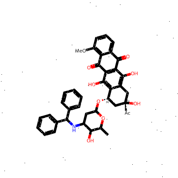 COc1cccc2c1C(=O)c1c(O)c3c(c(O)c1C2=O)C[C@@](O)(C(C)=O)C[C@@H]3OC1CC(NC(c2ccccc2)c2ccccc2)C(O)C(C)O1